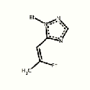 CC/C(C)=C\c1ncnn1CC